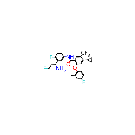 Cc1cc(F)ccc1Oc1cc(C2CC2)c(C(F)(F)F)cc1C(=O)Nc1ccc(F)c(C(N)CCF)c1